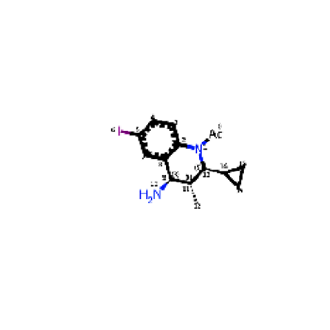 CC(=O)N1c2ccc(I)cc2[C@H](N)[C@@H](C)[C@@H]1C1CC1